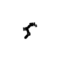 COB[SiH3]